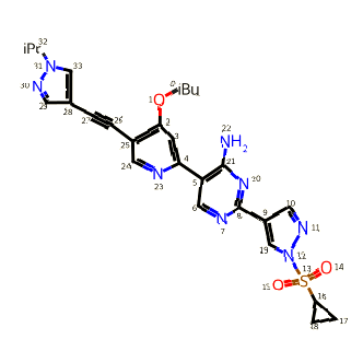 CCC(C)Oc1cc(-c2cnc(-c3cnn(S(=O)(=O)C4CC4)c3)nc2N)ncc1C#Cc1cnn(C(C)C)c1